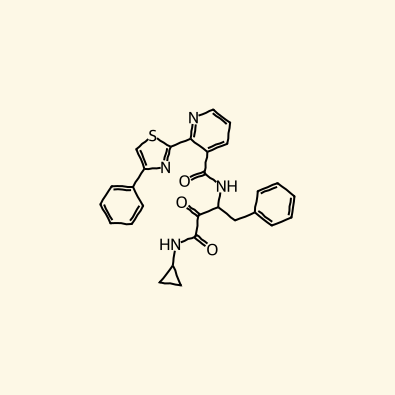 O=C(NC1CC1)C(=O)C(Cc1ccccc1)NC(=O)c1cccnc1-c1nc(-c2ccccc2)cs1